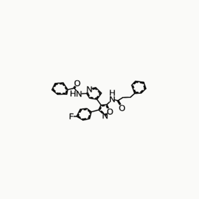 O=C(CCc1ccccc1)Nc1onc(-c2ccc(F)cc2)c1-c1ccnc(NC(=O)c2ccccc2)c1